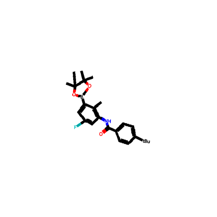 Cc1c(NC(=O)c2ccc(C(C)(C)C)cc2)cc(F)cc1B1OC(C)(C)C(C)(C)O1